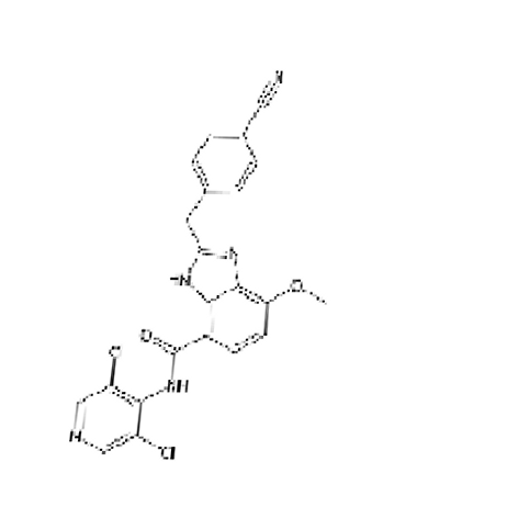 COc1ccc(C(=O)Nc2c(Cl)cncc2Cl)c2[nH]c(Cc3ccc(C#N)cc3)nc12